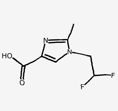 Cc1nc(C(=O)O)cn1CC(F)F